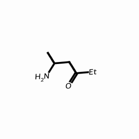 CCC(=O)CC(C)N